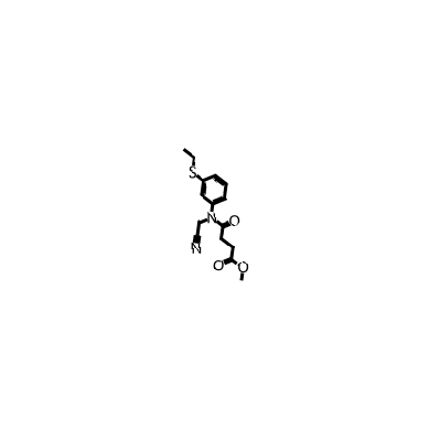 CCSc1cccc(N(CC#N)C(=O)CCC(=O)OC)c1